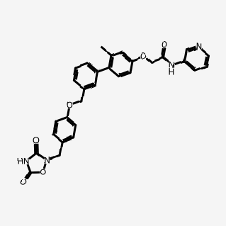 Cc1cc(OCC(=O)Nc2cccnc2)ccc1-c1cccc(COc2ccc(Cn3oc(=O)[nH]c3=O)cc2)c1